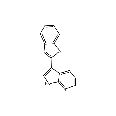 c1ccc2sc(-c3c[nH]c4ncccc34)cc2c1